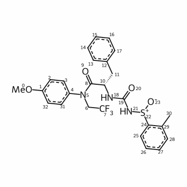 COc1ccc(N(CC(F)(F)F)C(=O)[C@H](Cc2ccccc2)NC(=O)N[S+]([O-])c2ccccc2C)cc1